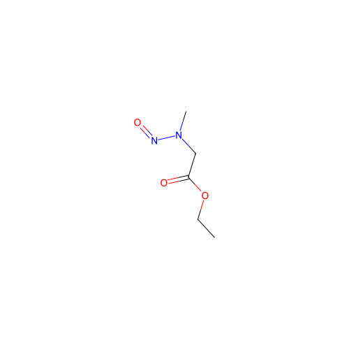 CCOC(=O)CN(C)N=O